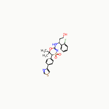 CC1(C)OC(N[C@@H](CCO)c2ccccc2F)=NS(=O)(=O)C1c1ccc(-c2cscn2)cc1